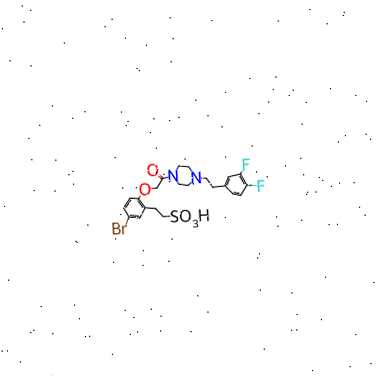 O=C(COc1ccc(Br)cc1CCS(=O)(=O)O)N1CCN(CCc2ccc(F)c(F)c2)CC1